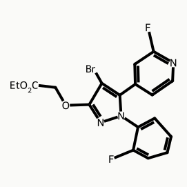 CCOC(=O)COc1nn(-c2ccccc2F)c(-c2ccnc(F)c2)c1Br